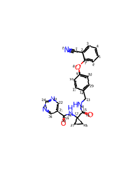 N#Cc1ccccc1Oc1ccc(CNC(=O)C2(NC(=O)c3cncnc3)CC2)cc1